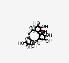 O=C1OCC2OC(O)C(O)[C@@H](O)[C@@H]2OC(=O)c2cc(O)c(O)c(O)c2-c2c1cc(O)c(O)c2O